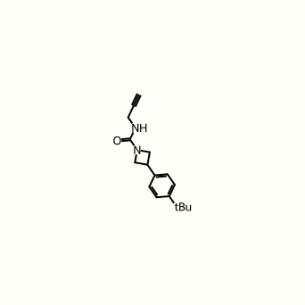 C#CCNC(=O)N1CC(c2ccc(C(C)(C)C)cc2)C1